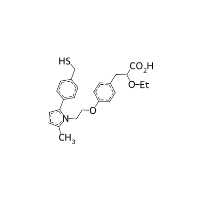 CCOC(Cc1ccc(OCCn2c(C)ccc2-c2ccc(CS)cc2)cc1)C(=O)O